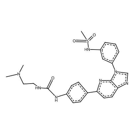 CN(C)CCNC(=O)Nc1ccc(-c2ccc3ncn(-c4cccc(NS(C)(=O)=O)c4)c3n2)cc1